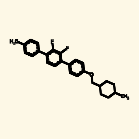 Cc1ccc(-c2ccc(-c3ccc(OCC4CCC(C)CC4)cc3)c(F)c2F)cc1